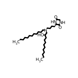 CCCCCCCCCCCCN(CCCC[C@H]1NC(=O)CNC1=O)C[C@@H](O)CCCCCCCCCC